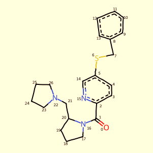 O=C(c1ccc(SCc2ccccc2)cn1)N1CCCC1CN1CCCC1